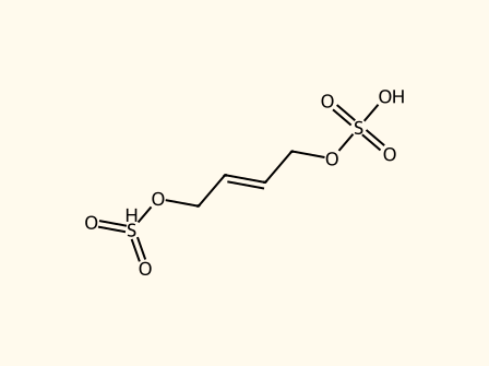 O=[SH](=O)OC/C=C/COS(=O)(=O)O